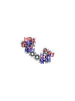 COC(=O)N[C@H](C(=O)N1CCC[C@H]1c1ncc(-c2ccc(-c3ccc(-c4cnc([C@@H]5CC6(CN5C(=O)[C@@H](NC(O)OC)C(C)C)OCCO6)[nH]4)cc3)cc2)[nH]1)C1CCOCC1